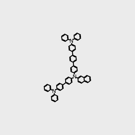 c1ccc(N(c2ccccc2)c2ccc(-c3ccc(-c4ccc(N(c5ccc(-c6ccc(N(c7ccccc7)c7ccccc7)cc6)cc5)c5ccc6ccccc6c5)cc4)cc3)cc2)cc1